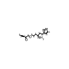 CC#CC(=O)COCCCC(N)CCn1ccnn1